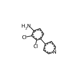 Nc1ccc(-c2ccncc2)c(Cl)c1Cl